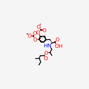 CCC(C)CC(=O)OC(C)CN[C@@H](Cc1ccc(OC(=O)OC)c(OC(=O)OC)c1)C(=O)O